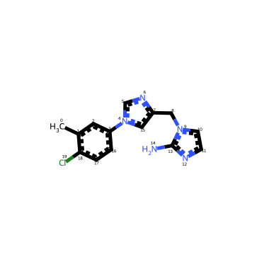 Cc1cc(-n2cnc(Cn3ccnc3N)c2)ccc1Cl